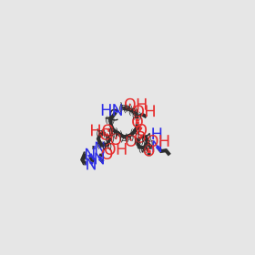 CCCNC[C@]1(O)[C@H](C)O[C@@H](O[C@H]2[C@H](C)[C@@H](O[C@@H]3O[C@H](C)C[C@H](N(C)C(=O)N(C)c4ncccn4)[C@H]3O)[C@](C)(O)C[C@@H](C)CN[C@H](C)[C@@H](O)[C@](C)(O)[C@@H](CC)OC(=O)[C@@H]2C)C[C@@]1(C)OC